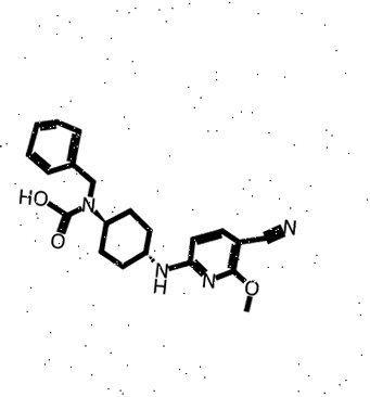 COc1nc(N[C@H]2CC[C@H](N(Cc3ccccc3)C(=O)O)CC2)ccc1C#N